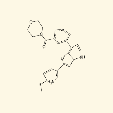 CSC/C=C\C(=C/N)C1=CC2NC=CC(c3cccc(C(=O)N4CCOCC4)c3)=C2O1